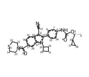 C[C@@H](OC(=O)Nc1ccc(-c2c(C#N)c3ccc(C(=O)N4CCSCC4)cc3n2C2CCC2)cc1)C1CC1